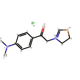 CCN(CC)c1ccc(C(=O)C[N+]2=CSCC2)cc1.[Br-]